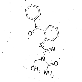 CCN(C(N)=O)c1nc2cccc([S+]([O-])c3ccccc3)c2s1